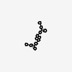 c1ccc(-c2ccc(N(c3ccccc3)c3ccc(-c4ccc5ccc6c(-c7ccc(N(c8ccccc8)c8ccc(-c9ccccc9)cc8)cc7)ccc7ccc4c5c76)cc3)cc2)cc1